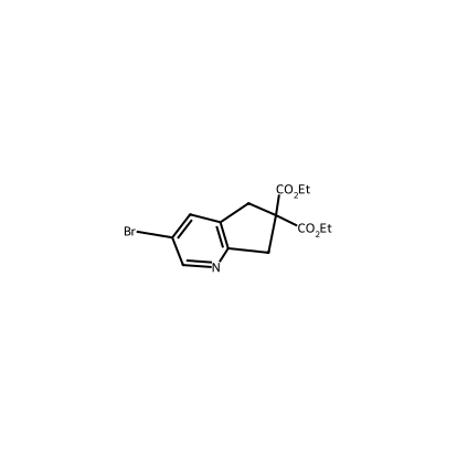 CCOC(=O)C1(C(=O)OCC)Cc2cc(Br)cnc2C1